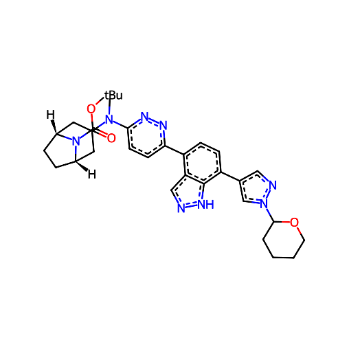 CN(c1ccc(-c2ccc(-c3cnn(C4CCCCO4)c3)c3[nH]ncc23)nn1)C1C[C@H]2CC[C@@H](C1)N2C(=O)OC(C)(C)C